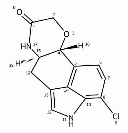 O=C1CO[C@@H]2c3ccc(Cl)c4[nH]cc(c34)C[C@H]2N1